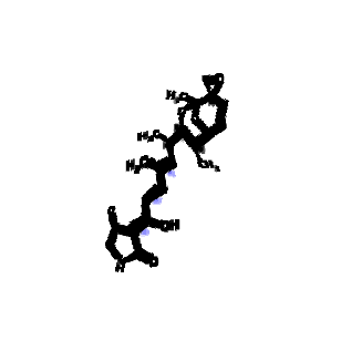 CC(/C=C/C(O)=C1\C(=O)CNC1=O)=C\[C@@H](C)[C@H]1OC2(C)OC(C=C[C@@]23CO3)[C@@H]1C